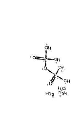 O.O=P(O)(O)OP(=O)(O)O.[NaH].[NaH]